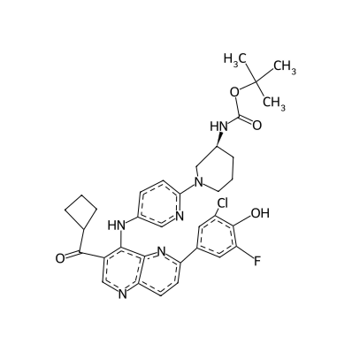 CC(C)(C)OC(=O)N[C@H]1CCCN(c2ccc(Nc3c(C(=O)C4CCC4)cnc4ccc(-c5cc(F)c(O)c(Cl)c5)nc34)cn2)C1